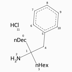 CCCCCCCCCCC(N)(CCCCCC)Cc1ccccc1.Cl